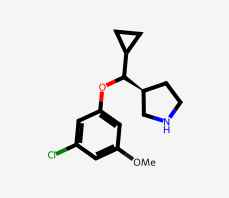 COc1cc(Cl)cc(OC(C2CC2)[C@H]2CCNC2)c1